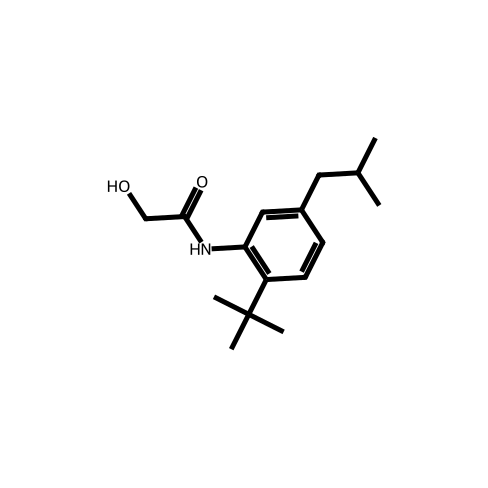 CC(C)Cc1ccc(C(C)(C)C)c(NC(=O)CO)c1